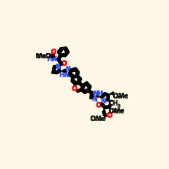 COC[C@H]1C[C@@H](c2ncc(-c3ccc4c(c3)COc3cc5c(ccc6nc([C@@H]7CCCN7C(=O)[C@H](NC(=O)OC)c7ccccc7)[nH]c65)cc3-4)[nH]2)N(C(=O)[C@@H](CC(=O)OC)[C@@H](C)OC)C1